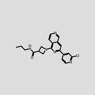 CCCNC(=O)C1CN(c2nc(-c3ccnc(Cl)c3)cc3cnccc23)C1